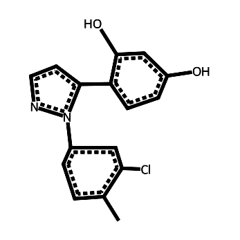 Cc1ccc(-n2nccc2-c2ccc(O)cc2O)cc1Cl